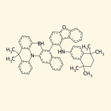 CC1(C)CCC(C)(C)c2cc(Nc3c(-c4c5c(cc6ccccc46)N4c6ccccc6C(C)(C)c6cccc(c64)B5)ccc4oc5ccccc5c34)ccc21